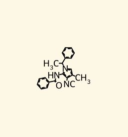 [C-]#[N+]c1c(C)cn(C(C)c2ccccc2)c1NC(=O)c1ccccc1